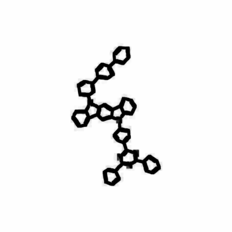 c1ccc(-c2ccc(-c3cccc(-n4c5ccccc5c5cc6c(cc54)c4ccccc4n6-c4ccc(-c5nc(-c6ccccc6)nc(-c6ccccc6)n5)cc4)c3)cc2)cc1